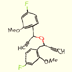 C#CC(OC(C#C)c1ccc(F)cc1OC)c1ccc(F)cc1OC